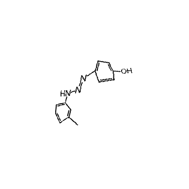 Cc1cccc(NN=Nc2ccc(O)cc2)c1